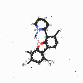 Cc1ccc2c(oc3c(C)c(C(C)C)cc(C#N)c32)c1-c1cccc[n+]1C